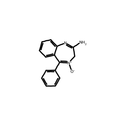 NC1=Nc2ccccc2C(c2ccccc2)=[N+]([O-])C1